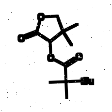 CC1(C)COC(=O)C1OC(=O)C(C)(C)C(C)(C)C